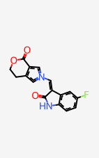 O=C1Nc2ccc(F)cc2C1=Cn1cc2c(c1)C(=O)OCC2